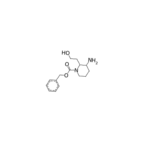 NC1CCCN(C(=O)OCc2ccccc2)C1CCO